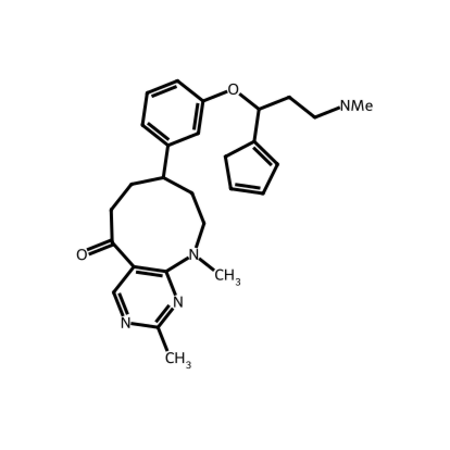 CNCCC(Oc1cccc(C2CCC(=O)c3cnc(C)nc3N(C)CC2)c1)C1=CC=CC1